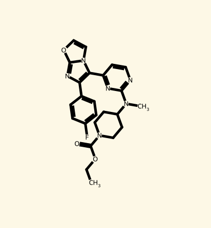 CCOC(=O)N1CCC(N(C)c2nccc(-c3c(-c4ccc(F)cc4)nc4occn34)n2)CC1